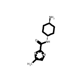 Cc1cnc(C(=O)N[C@H]2CC[C@H](N)CC2)s1